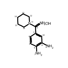 Cl.N=C(c1ccc(N)c(N)c1)N1CCCCC1